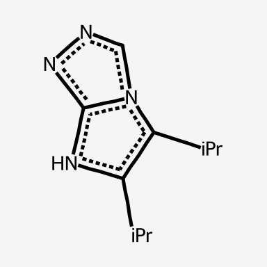 CC(C)c1[nH]c2nncn2c1C(C)C